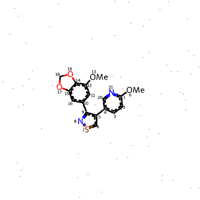 COc1ccc(-c2csnc2-c2cc(OC)c3c(c2)OCO3)cn1